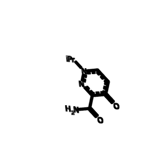 CC(C)n1ccc(=O)c(C(N)=O)n1